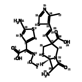 CON=C(C(=O)O)c1csc(N)n1.Cc1ncsc1C=CC1(C(=O)O)CS[C@@H]2C(N)C(=O)N2C1